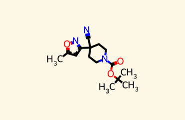 Cc1cc(C2(C#N)CCN(C(=O)OC(C)(C)C)CC2)no1